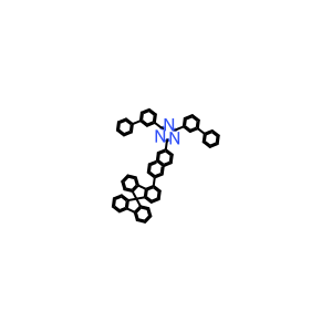 c1ccc(-c2cccc(-c3nc(-c4cccc(-c5ccccc5)c4)nc(-c4ccc5cc(-c6cccc7c6-c6ccccc6C76c7ccccc7-c7ccccc76)ccc5c4)n3)c2)cc1